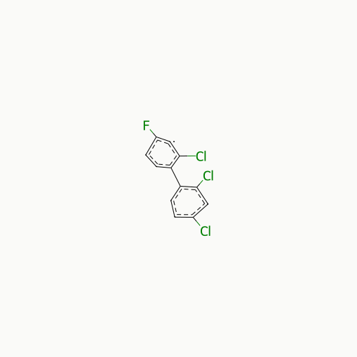 Fc1[c]c(Cl)c(-c2ccc(Cl)cc2Cl)cc1